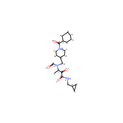 CC(C(=O)C(=O)NCC1CC1)N(C=O)CC1CCN(C(=O)C2CCCCC2)CC1